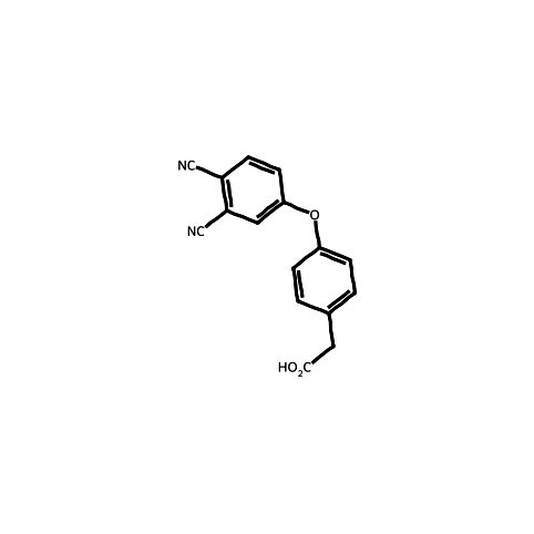 N#Cc1ccc(Oc2ccc(CC(=O)O)cc2)cc1C#N